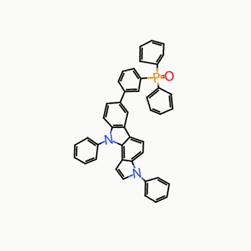 O=P(c1ccccc1)(c1ccccc1)c1cccc(-c2ccc3c(c2)c2ccc4c(ccn4-c4ccccc4)c2n3-c2ccccc2)c1